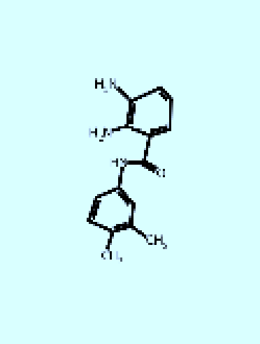 Cc1ccc(NC(=O)c2cccc(N)c2N)cc1C